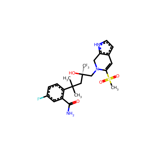 CC(C)(C[C@@](O)(CN1Cc2[nH]ccc2C=C1S(C)(=O)=O)C(F)(F)F)c1ccc(F)cc1C(N)=O